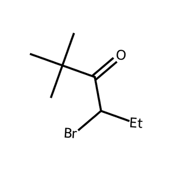 [CH2]CC(Br)C(=O)C(C)(C)C